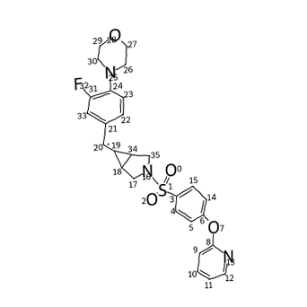 O=S(=O)(c1ccc(Oc2ccccn2)cc1)N1CC2C([CH]c3ccc(N4CCOCC4)c(F)c3)C2C1